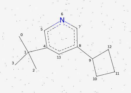 CC(C)(C)c1cncc(C2CCC2)c1